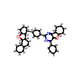 c1ccc(-c2nc(-c3ccc(-c4cccc5oc6c7ccccc7ccc6c45)cc3)nc3c2oc2ccccc23)cc1